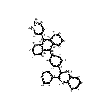 c1ccc(-c2nc3ccccc3nc2-c2ccc(-c3c4ccccc4c(-c4ccnnc4)c4ccccc34)cc2)cc1